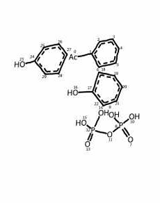 CC(=O)c1ccccc1.O=P(O)(O)OP(=O)(O)O.Oc1ccccc1.Oc1ccccc1